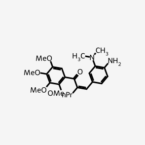 CCCC(=Cc1ccc(N)c(N(C)C)c1)C(=O)c1cc(OC)c(OC)c(OC)c1OC